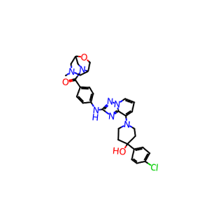 CN1CC2CN(C(=O)c3ccc(Nc4nc5c(N6CCC(O)(c7ccc(Cl)cc7)CC6)cccn5n4)cc3)C(CO2)C1